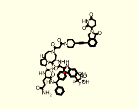 NC(=O)CCC(NC(=O)[C@@H]1CC[C@@H]2CCN(C(=O)CC(=O)N3CCC(C#Cc4cccc5c4CN(C4CCC(=O)NC4=O)C5=O)CC3)C[C@H](NC(=O)c3cc4cc(C(F)(F)P(=O)(O)O)ccc4[nH]3)C(=O)N21)C(=O)NC(c1ccccc1)c1ccccc1